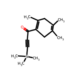 CC1=C(C)CC(C(=O)C#C[Si](C)(C)C)=C(C)C1